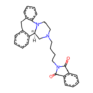 O=C1c2ccccc2C(=O)N1CCCCN1CCN2c3ccccc3Cc3ccccc3[C@@H]2C1